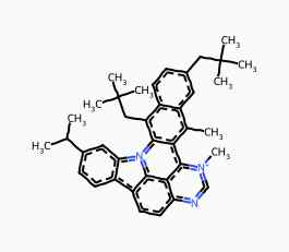 Cc1c2cc(CC(C)(C)C)ccc2c(CC(C)(C)C)c2c1c1c3c(ccc4c5ccc(C(C)C)cc5n2c43)nc[n+]1C